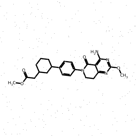 COC(=O)CC1CCCC(c2ccc(N3CCc4nc(OC)nc(N)c4C3=O)cc2)C1